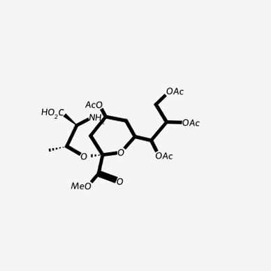 COC(=O)[C@@]1(O[C@H](C)[C@H](N)C(=O)O)CC(OC(C)=O)CC(C(OC(C)=O)C(COC(C)=O)OC(C)=O)O1